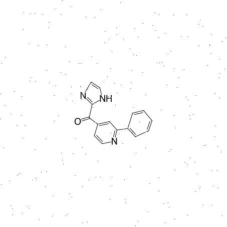 O=C(c1ccnc(-c2ccccc2)c1)c1ncc[nH]1